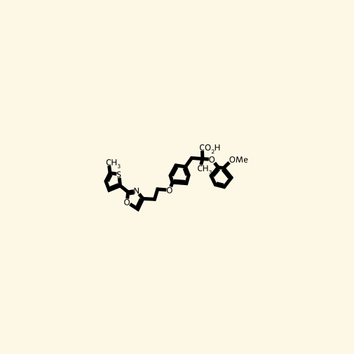 COc1ccccc1OC(C)(Cc1ccc(OCCc2coc(-c3ccc(C)s3)n2)cc1)C(=O)O